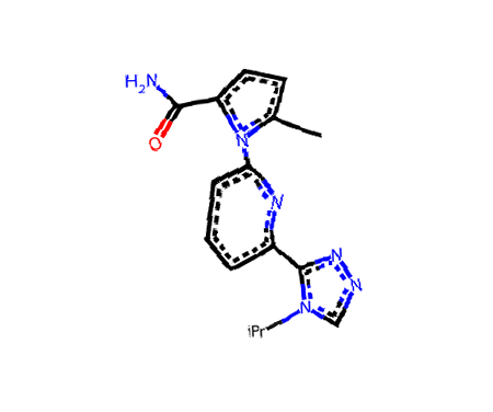 Cc1ccc(C(N)=O)n1-c1cccc(-c2nncn2C(C)C)n1